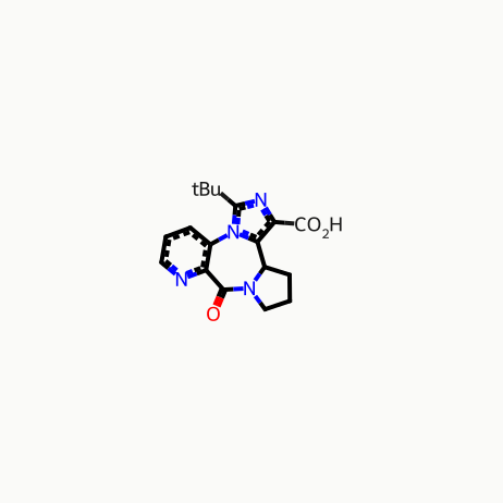 CC(C)(C)c1nc(C(=O)O)c2n1-c1cccnc1C(=O)N1CCCC21